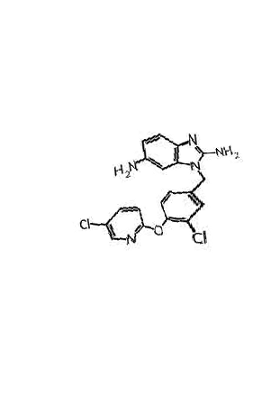 Nc1ccc2nc(N)n(Cc3ccc(Oc4ccc(Cl)cn4)c(Cl)c3)c2c1